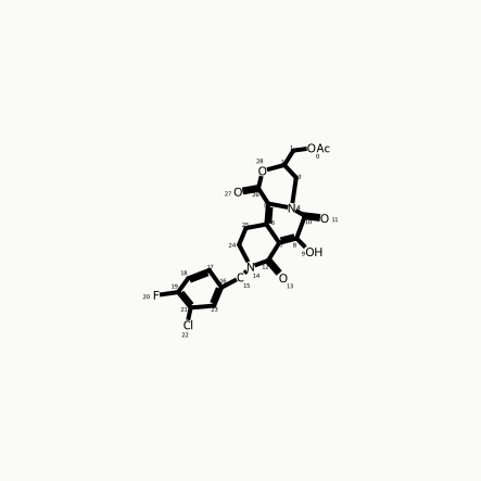 CC(=O)OCC1Cn2c(c3c(c(O)c2=O)C(=O)N(Cc2ccc(F)c(Cl)c2)CC3)C(=O)O1